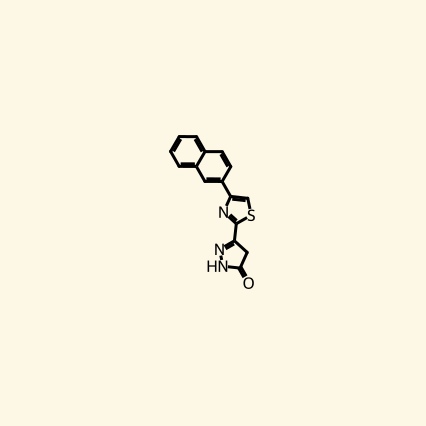 O=C1CC(c2nc(-c3ccc4ccccc4c3)cs2)=NN1